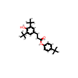 CC(C)(C)c1ccc(OC(=O)CCc2cc(C(C)(C)C)c(O)c(C(C)(C)C)c2)cc1